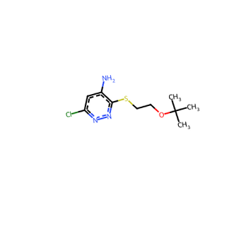 CC(C)(C)OCCSc1nnc(Cl)cc1N